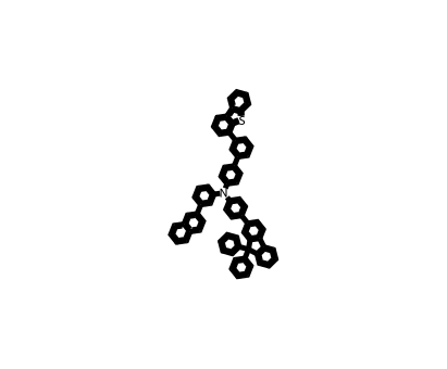 c1ccc(C2(c3ccccc3)c3ccccc3-c3ccc(-c4ccc(N(c5ccc(-c6cccc(-c7cccc8c7sc7ccccc78)c6)cc5)c5cccc(-c6ccc7ccccc7c6)c5)cc4)cc32)cc1